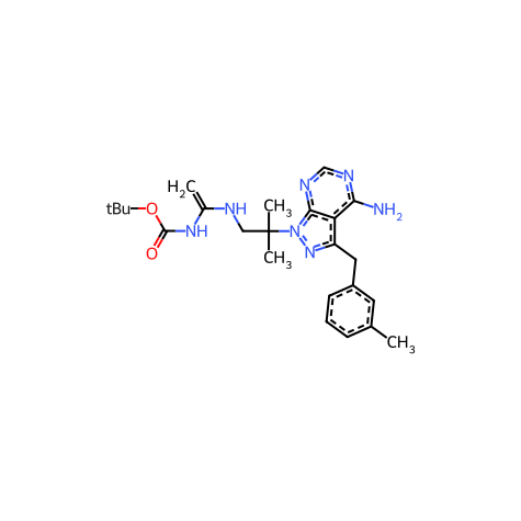 C=C(NCC(C)(C)n1nc(Cc2cccc(C)c2)c2c(N)ncnc21)NC(=O)OC(C)(C)C